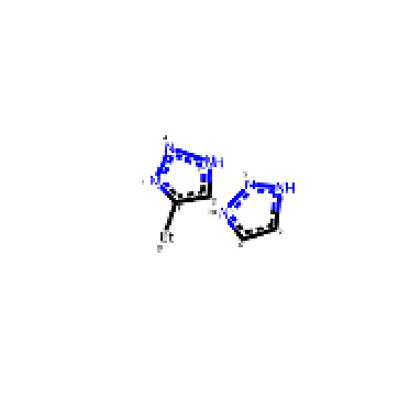 CCc1c[nH]nn1.c1c[nH]nn1